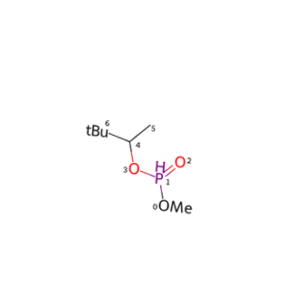 CO[PH](=O)OC(C)C(C)(C)C